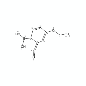 CCOC1=CC(=C=O)C(B(O)O)C=C1